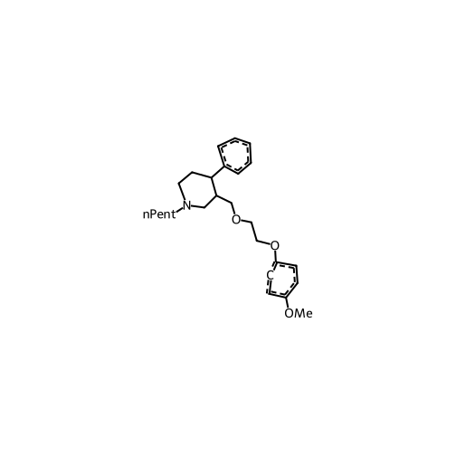 CCCCCN1CCC(c2ccccc2)C(COCCOc2ccc(OC)cc2)C1